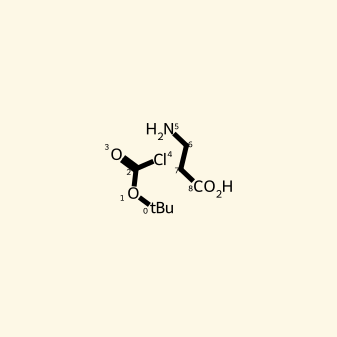 CC(C)(C)OC(=O)Cl.NCCC(=O)O